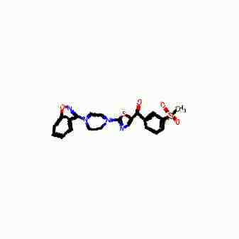 CS(=O)(=O)c1cccc(C(=O)c2cnc(N3CCN(c4noc5ccccc45)CC3)s2)c1